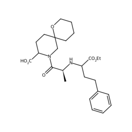 CCOC(=O)C(CCc1ccccc1)N[C@@H](C)C(=O)N1CC2(CCCCO2)CCC1C(=O)O